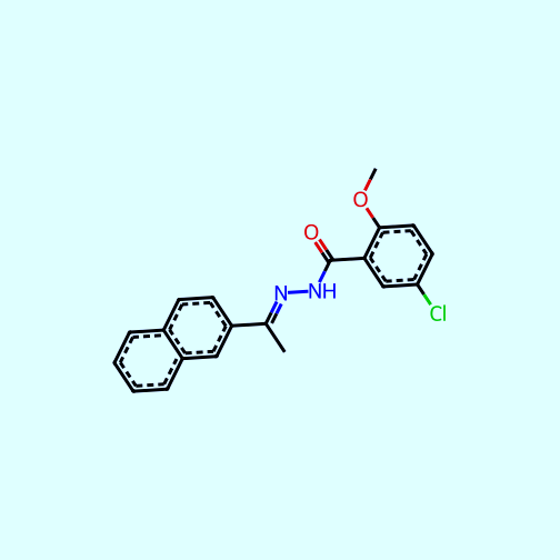 COc1ccc(Cl)cc1C(=O)NN=C(C)c1ccc2ccccc2c1